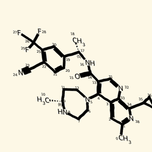 Cc1cc2c(N3CCN[C@H](C)CC3)c(C(=O)N[C@@H](C)c3ccc(C#N)c(C(F)(F)F)c3)cnc2c(C2CC2)n1